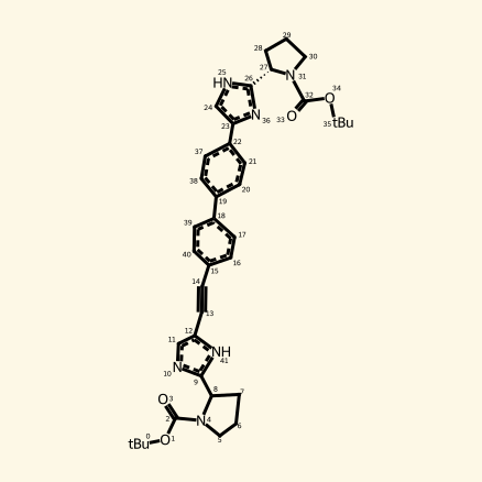 CC(C)(C)OC(=O)N1CCCC1c1ncc(C#Cc2ccc(-c3ccc(-c4c[nH]c([C@@H]5CCCN5C(=O)OC(C)(C)C)n4)cc3)cc2)[nH]1